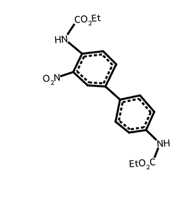 CCOC(=O)Nc1ccc(-c2ccc(NC(=O)OCC)c([N+](=O)[O-])c2)cc1